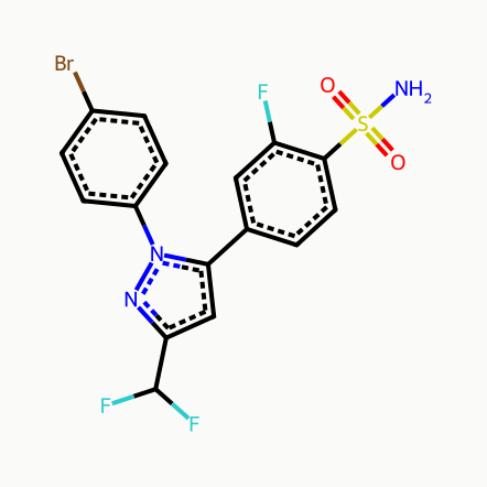 NS(=O)(=O)c1ccc(-c2cc(C(F)F)nn2-c2ccc(Br)cc2)cc1F